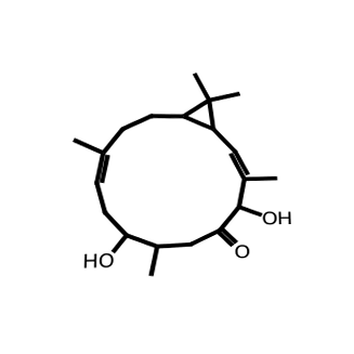 C/C1=C/CC(O)C(C)CC(=O)C(O)/C(C)=C\C2C(CC1)C2(C)C